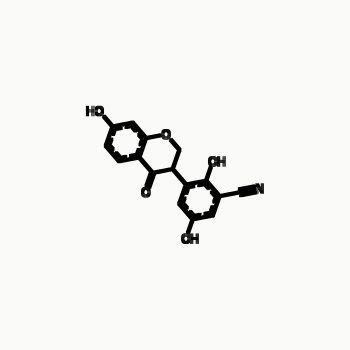 N#Cc1cc(O)cc(C2COc3cc(O)ccc3C2=O)c1O